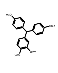 COc1ccc([C](c2ccc(OC)cc2)c2ccc(OC)c(OC)c2)cc1